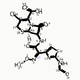 CO/N=C(\C(=O)NC1C(=O)N2C(C(=O)O)=C(Cl)CS[C@H]12)c1csc(NC=O)n1